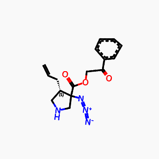 C=CC[C@H]1CNCC1(N=[N+]=[N-])C(=O)OCC(=O)c1ccccc1